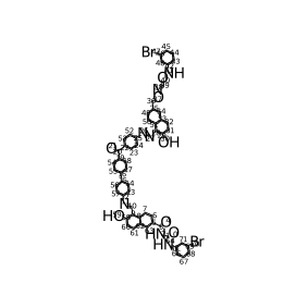 O=C(NC(=O)c1ccc2c(C=Nc3ccc(-c4ccc(C(=O)c5ccc(N=Nc6c(O)ccc7cc(CO/N=C/ONc8cccc(Br)c8)ccc67)cc5)cc4)cc3)c(O)ccc2c1)Nc1cccc(Br)c1